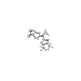 CC1(C)CCC(C)(C)c2sc(N(c3ccc(C(=O)O)cc3)C3CC3)nc21